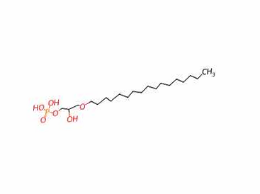 CCCCCCCCCCCCCCCCCOCC(O)COP(=O)(O)O